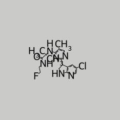 Cc1cnc(C2CNc3ncc(Cl)cc32)nc1NC(C)(C)C(=O)NCCF